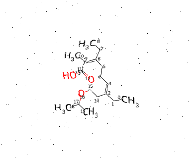 CCC(=CCCC(CC)=C(C)C(=O)O)CCOC(C)C